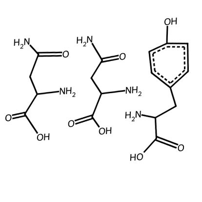 NC(=O)CC(N)C(=O)O.NC(=O)CC(N)C(=O)O.NC(Cc1ccc(O)cc1)C(=O)O